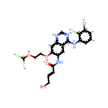 O=C(/C=C/CBr)Nc1cc2c(Nc3cccc(Cl)c3F)ncnc2cc1OCCOC(F)F